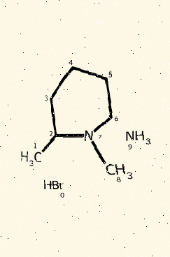 Br.CC1CCCCN1C.N